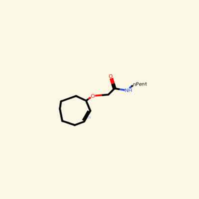 CCCCCNC(=O)COC1/C=C\CCCCC1